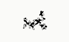 CON=C(C(=O)NC1C(=O)N2CC(CSc3nc(C)ns3)(C(=O)OC(C)OC(=O)C(C)(C)C)CS[C@H]12)c1cscn1